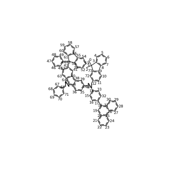 CC1(C)c2ccccc2-c2ccc(N(c3ccc(-c4cc5ccccc5c5ccccc45)cc3)c3ccc4c(c3)c3cc(C5(c6ccccc6)c6ccccc6-c6ccccc65)ccc3n4-c3ccccc3)cc21